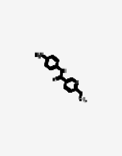 NCc1ccc(C(=O)Nc2ccc(N)cc2)cn1